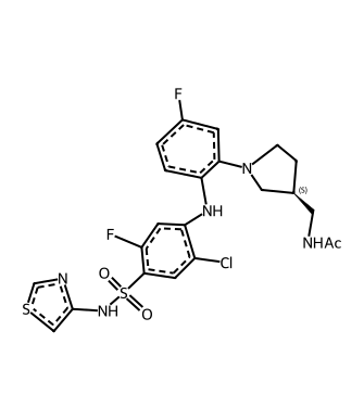 CC(=O)NC[C@@H]1CCN(c2cc(F)ccc2Nc2cc(F)c(S(=O)(=O)Nc3cscn3)cc2Cl)C1